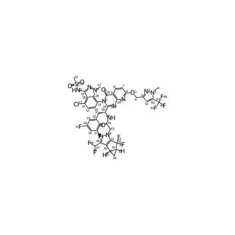 Cn1nc(COc2ccc3c(=O)n(-c4ccc(Cl)c5c(NS(C)(=O)=O)nn(C)c45)c([C@H](Cc4cc(F)cc(F)c4)NC(=O)Cn4nc(C(F)F)c5c4C(F)(F)[C@@H]4C[C@H]54)nc3n2)cc1C(F)(F)F